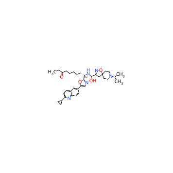 CCC(=O)CCCCC[C@H](NC(O)C1=NOC2(CCN(C(C)C)CC2)C1)c1ncc(-c2ccc3nc(C4CC4)ccc3c2)o1